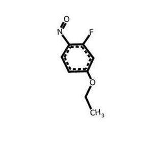 CCOc1ccc(N=O)c(F)c1